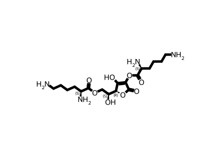 NCCCC[C@H](N)C(=O)OC[C@H](O)[C@H]1OC(=O)C(OC(=O)[C@@H](N)CCCCN)=C1O